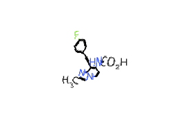 Cc1cn2ccc(NC(=O)O)c(C#Cc3ccc(F)cc3)c2n1